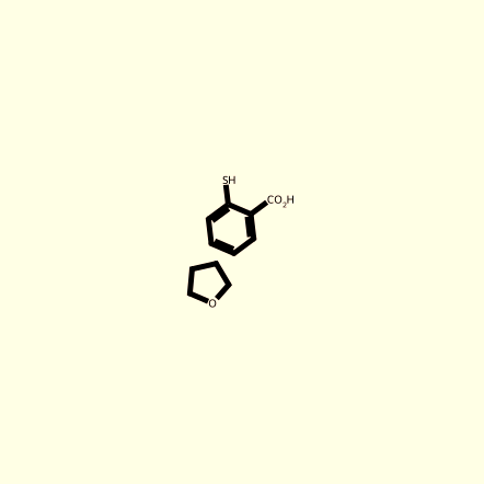 C1CCOC1.O=C(O)c1ccccc1S